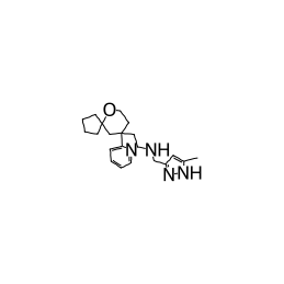 Cc1cc(CNCCC2(c3ccccn3)CCOC3(CCCC3)C2)n[nH]1